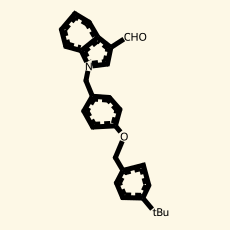 CC(C)(C)c1ccc(COc2ccc(Cn3cc(C=O)c4ccccc43)cc2)cc1